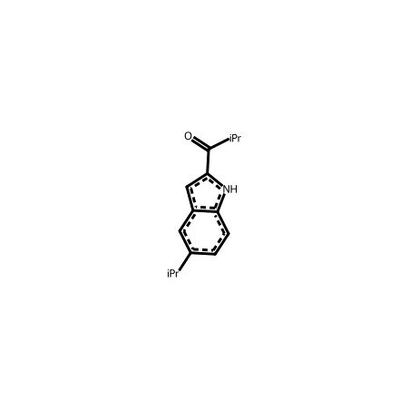 CC(C)C(=O)c1cc2cc(C(C)C)ccc2[nH]1